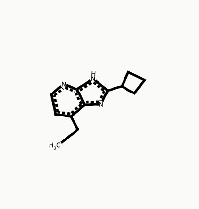 CCc1ccnc2[nH]c(C3CCC3)nc12